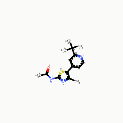 CC(=O)Nc1nc(C)c(-c2ccnc(C(C)(C)C)c2)s1